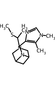 CSC(C)N1CC2CC(C1)N2Cc1ncn(C)c1C